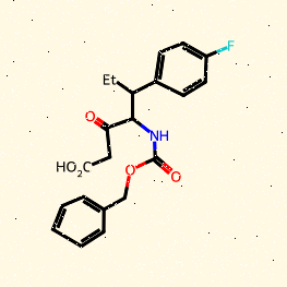 CCC(c1ccc(F)cc1)C(NC(=O)OCc1ccccc1)C(=O)CC(=O)O